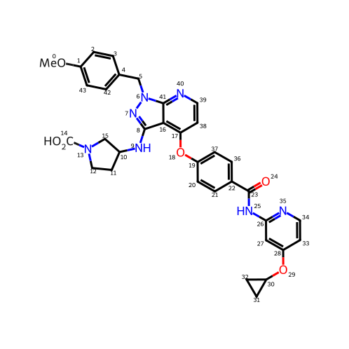 COc1ccc(Cn2nc(NC3CCN(C(=O)O)C3)c3c(Oc4ccc(C(=O)Nc5cc(OC6CC6)ccn5)cc4)ccnc32)cc1